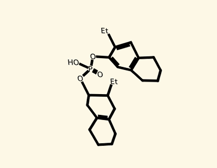 CCc1cc2c(cc1OP(=O)(O)OC1CC3=C(CCCC3)CC1CC)CCCC2